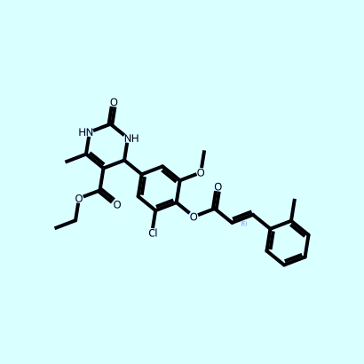 CCOC(=O)C1=C(C)NC(=O)NC1c1cc(Cl)c(OC(=O)/C=C/c2ccccc2C)c(OC)c1